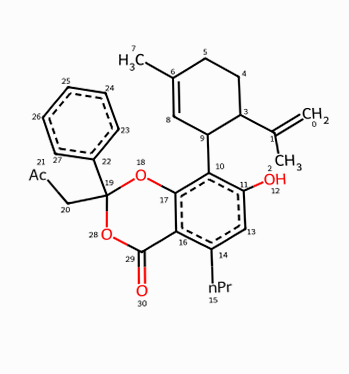 C=C(C)C1CCC(C)=CC1c1c(O)cc(CCC)c2c1OC(CC(C)=O)(c1ccccc1)OC2=O